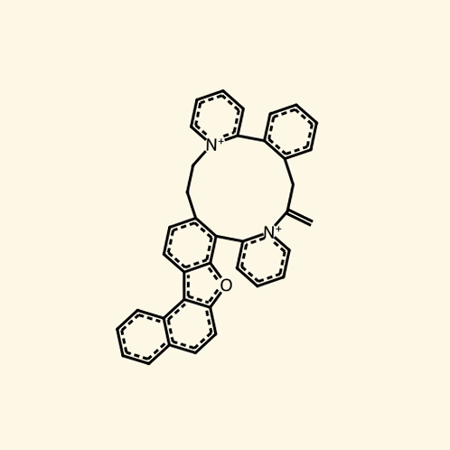 C=C1Cc2ccccc2-c2cccc[n+]2CCc2ccc3c(oc4ccc5ccccc5c43)c2-c2cccc[n+]21